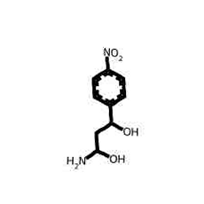 NC(O)CC(O)c1ccc([N+](=O)[O-])cc1